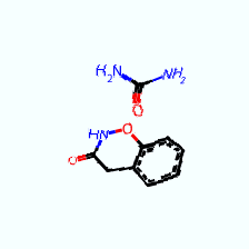 NC(N)=O.O=C1Cc2ccccc2ON1